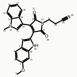 COc1ccc2cc(C3=C(c4cn(C)c5ccccc45)C(=O)N(CCC#N)C3=O)[nH]c2c1